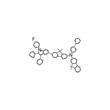 CC1(C)c2ccccc2-c2ccc(N(c3ccc(-c4ccccc4)cc3)c3ccc4c(c3)C(C)(C)c3cc(-c5ccc6c(c5)c(-c5ccccc5)c(-c5ccccc5)n6-c5ccc(F)cc5)ccc3-4)cc21